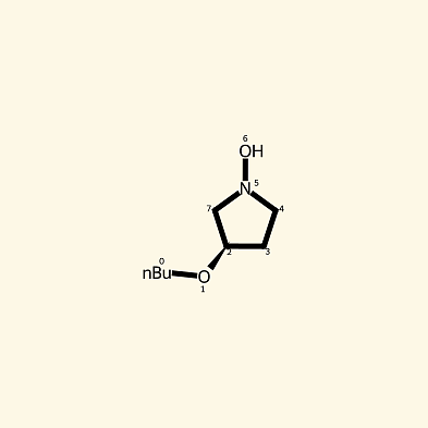 CCCCO[C@@H]1CCN(O)C1